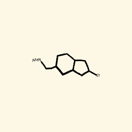 CCC1CC2CCC(CNC)CC2C1